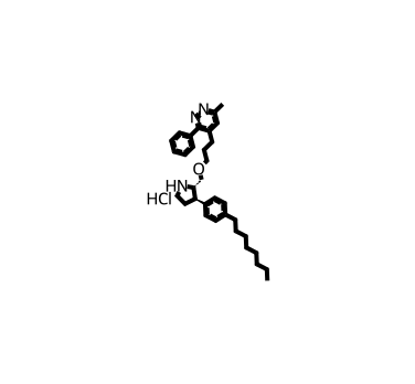 CCCCCCCCc1ccc([C@H]2CCN[C@@H]2COCCCc2cc(C)nnc2-c2ccccc2)cc1.Cl